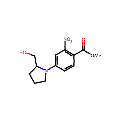 COC(=O)c1ccc(N2CCCC2CO)cc1[N+](=O)[O-]